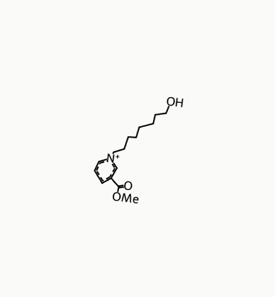 COC(=O)c1ccc[n+](CCCCCCCCO)c1